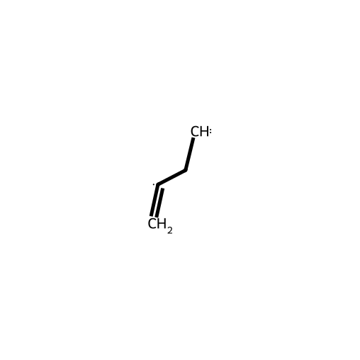 [CH]C[C]=C